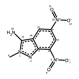 Cn1nc2c([N+](=O)[O-])cc([N+](=O)[O-])cc2c1N